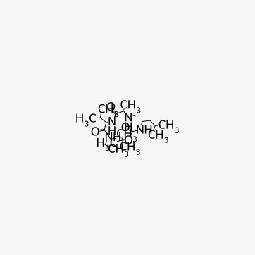 CCNC(=O)[C@@H](NC(=O)[C@H](C)NC[C@H](CC(C)C)NC(=O)OC(C)(C)C)C(C)C